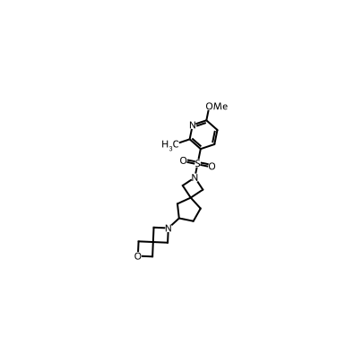 COc1ccc(S(=O)(=O)N2CC3(CCC(N4CC5(COC5)C4)C3)C2)c(C)n1